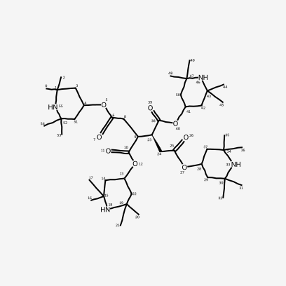 CC1(C)CC(OC(=O)CC(C(=O)OC2CC(C)(C)NC(C)(C)C2)[C@H](CC(=O)OC2CC(C)(C)NC(C)(C)C2)C(=O)OC2CC(C)(C)NC(C)(C)C2)CC(C)(C)N1